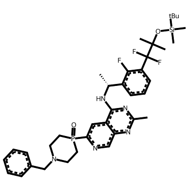 Cc1nc(N[C@H](C)c2cccc(C(F)(F)C(C)(C)O[Si](C)(C)C(C)(C)C)c2F)c2cc(P3(=O)CCN(Cc4ccccc4)CC3)ncc2n1